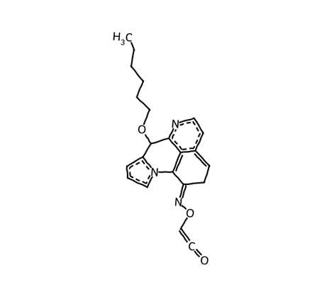 CCCCCCOC1c2nccc3c2=C(C(=NOC=C=O)CC=3)n2cccc21